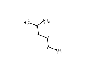 CCC[CH]C(C)N